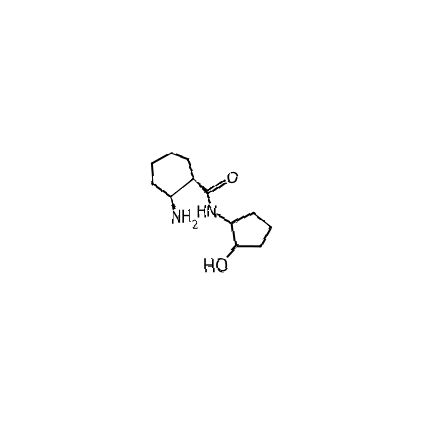 N[C@H]1CCCC[C@H]1C(=O)NC1CCCC1O